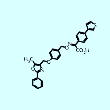 Cc1oc(-c2ccccc2)nc1COc1ccc(CO/N=C(\C(=O)O)c2ccc(-c3ccsc3)cc2)cc1